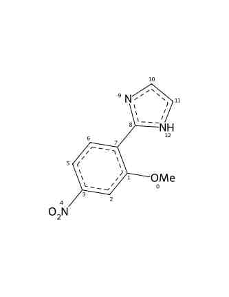 COc1cc([N+](=O)[O-])ccc1-c1ncc[nH]1